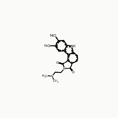 CN(C)CCN1C(=O)c2ccc3[nH]c4cc(O)c(O)cc4c3c2C1=O